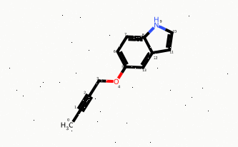 CC#CCOc1ccc2[nH]ccc2c1